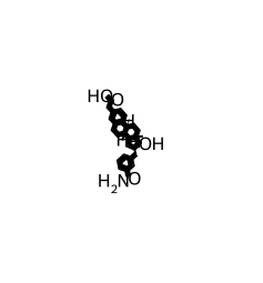 C[C@]12CC[C@@H]3c4ccc(CC(=O)O)cc4CC[C@H]3[C@@H]1C[C@H](Cc1cccc(C(N)=O)c1)[C@@H]2O